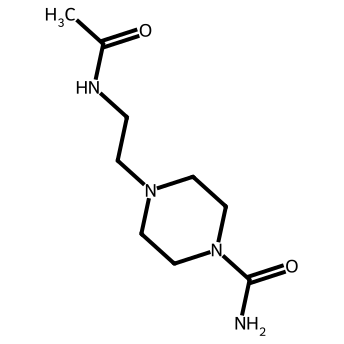 CC(=O)NCCN1CCN(C(N)=O)CC1